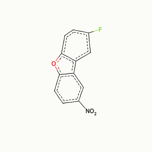 O=[N+]([O-])c1ccc2oc3ccc(F)cc3c2c1